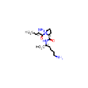 NCCCC[C@H](NC(=O)[C@@H]1CCCN1C(=O)[C@@H](N)CC(=O)O)C(=O)O